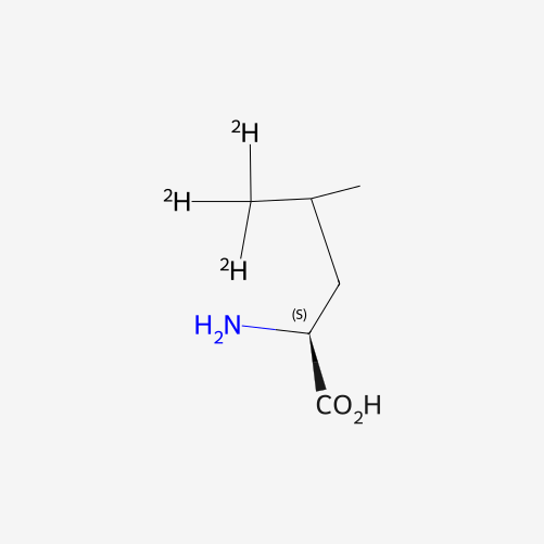 [2H]C([2H])([2H])C(C)C[C@H](N)C(=O)O